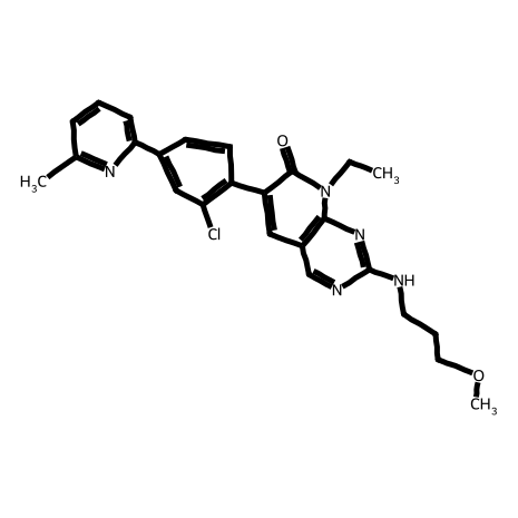 CCn1c(=O)c(-c2ccc(-c3cccc(C)n3)cc2Cl)cc2cnc(NCCCOC)nc21